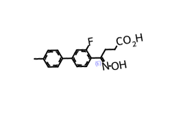 Cc1ccc(-c2ccc(/C(CCC(=O)O)=N/O)c(F)c2)cc1